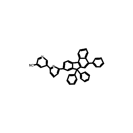 N#Cc1cncc(-c2cccc(-c3ccc4c(c3)C(c3ccccc3)(c3ccccc3)c3cc(-c5ccccc5)c5ccccc5c3-4)n2)c1